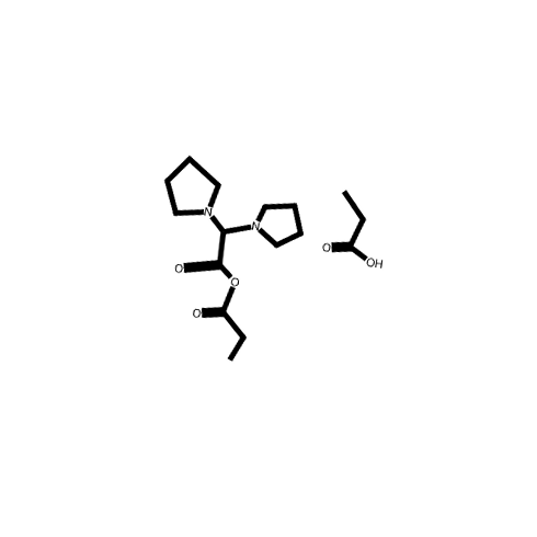 CCC(=O)O.CCC(=O)OC(=O)C(N1CCCC1)N1CCCC1